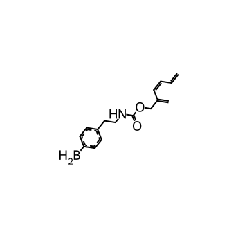 Bc1ccc(CCNC(=O)OCC(=C)/C=C\C=C)cc1